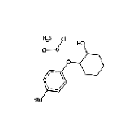 CC(C)(C)c1ccc(OC2CCCCC2O)cc1.ClOCl.S